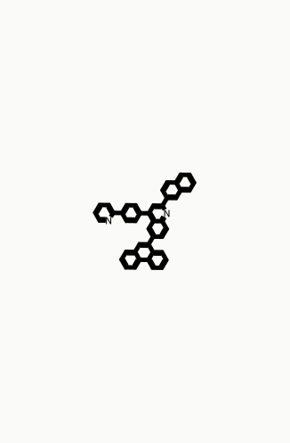 c1ccc(-c2ccc(-c3cc(-c4ccc5ccccc5c4)nc4ccc(-c5cc6ccccc6c6ccccc56)cc34)cc2)nc1